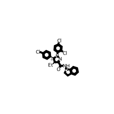 CC[C@@H]1C(C(=O)NN2CCc3ccccc32)=NN(c2ccc(Cl)cc2Cl)[C@@H]1c1ccc(Cl)cc1